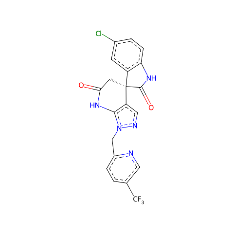 O=C1C[C@]2(C(=O)Nc3ccc(Cl)cc32)c2cnn(Cc3ccc(C(F)(F)F)cn3)c2N1